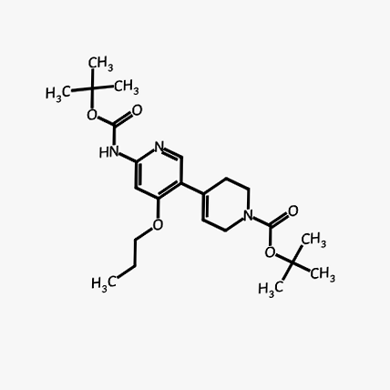 CCCOc1cc(NC(=O)OC(C)(C)C)ncc1C1=CCN(C(=O)OC(C)(C)C)CC1